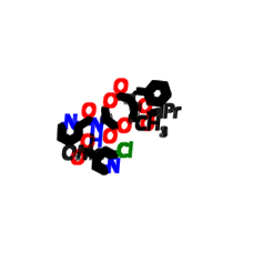 COc1ccnc(C(=O)N[C@H]2COC(=O)[C@H](Cc3ccccc3)[C@@H](OC(=O)C(C)C)[C@H](C)OC2=O)c1OC(=O)c1ccnc(Cl)c1